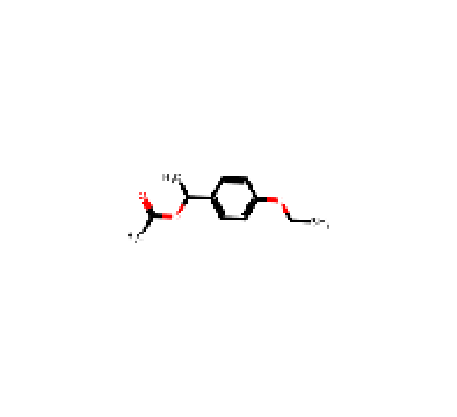 CC(=O)OC(C)c1ccc(OC[SiH3])cc1